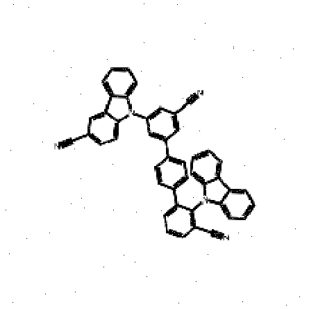 N#Cc1cc(-c2ccc(-c3cccc(C#N)c3-n3c4ccccc4c4ccccc43)cc2)cc(-n2c3ccccc3c3cc(C#N)ccc32)c1